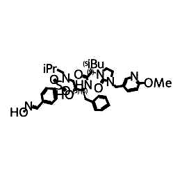 CC[C@H](C)[C@@H](C(=O)N[C@@H](Cc1ccccc1)[C@@H](O)CN(CC(C)C)S(=O)(=O)c1ccc(C=NO)cc1)N1CCN(Cc2ccc(OC)nc2)C1=O